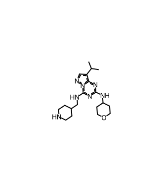 CC(C)c1cnn2c(NCC3CCNCC3)nc(NC3CCOCC3)nc12